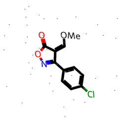 COC=C1C(=O)ON=C1c1ccc(Cl)cc1